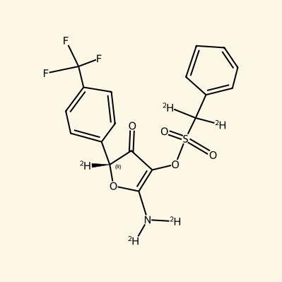 [2H]N([2H])C1=C(OS(=O)(=O)C([2H])([2H])c2ccccc2)C(=O)[C@@]([2H])(c2ccc(C(F)(F)F)cc2)O1